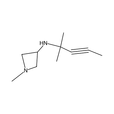 CC#CC(C)(C)NC1CN(C)C1